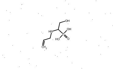 C=CCNC(CO)P(=O)(O)O